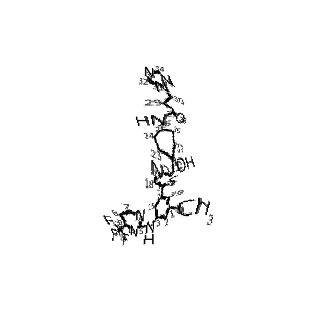 Cc1cc(Nc2nccc(C(F)(F)F)n2)cc(-c2cnc([C@]3(O)CC[C@H](NC(=O)CCn4cncn4)CC3)s2)c1